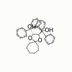 OC(c1ccccc1)(c1ccccc1)[C@H]1OC2(CCCCCC2)O[C@@H]1C(O)(c1ccccc1)c1ccccc1